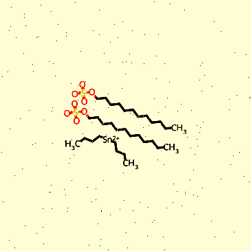 CCCCCCCCCCCCOS(=O)(=O)[O-].CCCCCCCCCCCCOS(=O)(=O)[O-].CCC[CH2][Sn+2][CH2]CCC